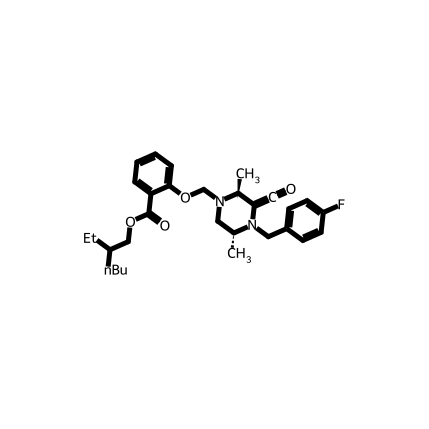 CCCCC(CC)COC(=O)c1ccccc1OCN1C[C@@H](C)N(Cc2ccc(F)cc2)C(=C=O)[C@@H]1C